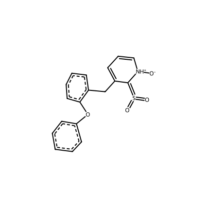 O=S(=O)=C1C(Cc2ccccc2Oc2ccccc2)=CC=C[NH+]1[O-]